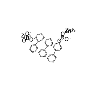 [O-]B([O-])[O-].[O-]B([O-])[O-].[Zn+2].[Zn+2].[Zn+2].c1ccc(-c2ccccc2)cc1.c1ccc(-c2ccccc2)cc1.c1ccc(-c2ccccc2)cc1